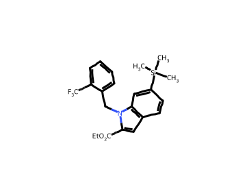 CCOC(=O)c1cc2ccc([Si](C)(C)C)cc2n1Cc1ccccc1C(F)(F)F